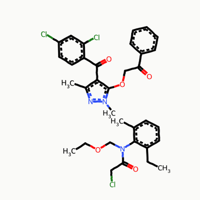 CCOCN(C(=O)CCl)c1c(C)cccc1CC.Cc1nn(C)c(OCC(=O)c2ccccc2)c1C(=O)c1ccc(Cl)cc1Cl